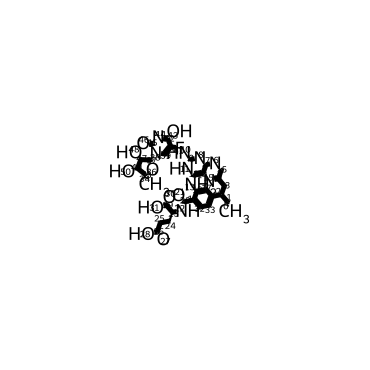 CCC(Cc1cnc2nc(=N)[nH]c(N)c2n1)c1ccc(C(=O)N[C@@H](CCC(=O)O)C(=O)O)cc1.C[C@H]1O[C@@H](n2cc(F)c(O)nc2=O)[C@H](O)[C@@H]1O